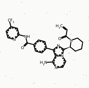 C=CC(=O)N1CCCC[C@H]1c1nc(-c2ccc(C(=O)Nc3cc(C(F)(F)F)ccn3)cc2)c2c(N)nccn12